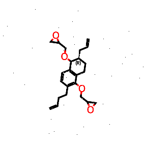 C=CCCc1ccc2c(c1OCC1CO1)CC[C@H](CC=C)C2OCC1CO1